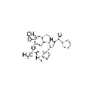 COC1=CC2CCn3c(C(=O)C4CCCC4)cc(-c4cccs4)c3C2C=C1OC(C)C